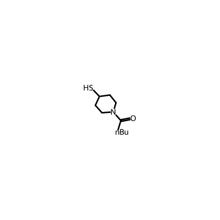 CCCCC(=O)N1CCC(S)CC1